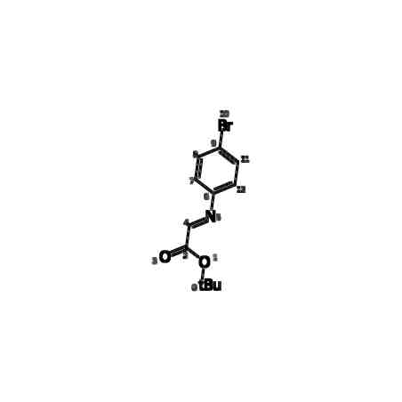 CC(C)(C)OC(=O)C=Nc1ccc(Br)cc1